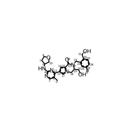 Cc1cnc(NC2CCOC2)nc1-c1cc2n(c1)CC(CO)N(Cc1cc(F)ccc1CO)C2=O